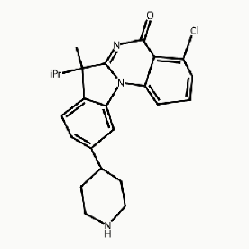 CC(C)C1(C)c2ccc(C3CCNCC3)cc2-n2c1nc(=O)c1c(Cl)cccc12